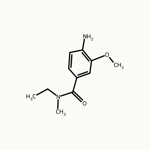 CCN(C)C(=O)c1ccc(N)c(OC)c1